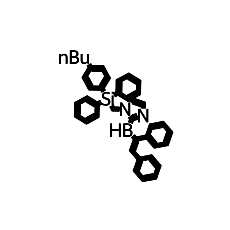 CCCCc1ccc([Si](Cn2ccnc2BC(=Cc2ccccc2)c2ccccc2)(c2ccccc2)c2ccccc2)cc1